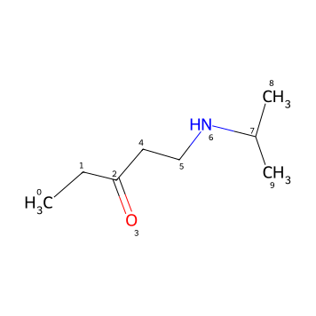 CCC(=O)CCNC(C)C